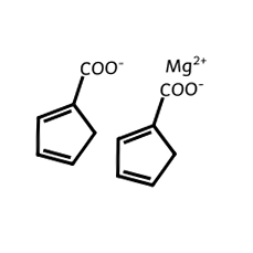 O=C([O-])C1=CC=CC1.O=C([O-])C1=CC=CC1.[Mg+2]